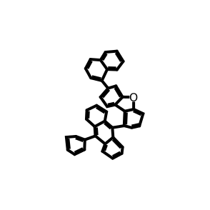 c1ccc(-c2c3ccccc3c(-c3cccc4oc5cc(-c6cccc7ccccc67)ccc5c34)c3ccccc23)cc1